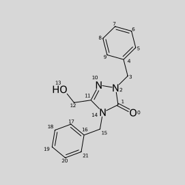 O=c1n(Cc2ccccc2)nc(CO)n1Cc1ccccc1